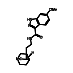 COc1ccc2c(C(=O)NCC[C@H]3CN4CCC3CC4)n[nH]c2c1